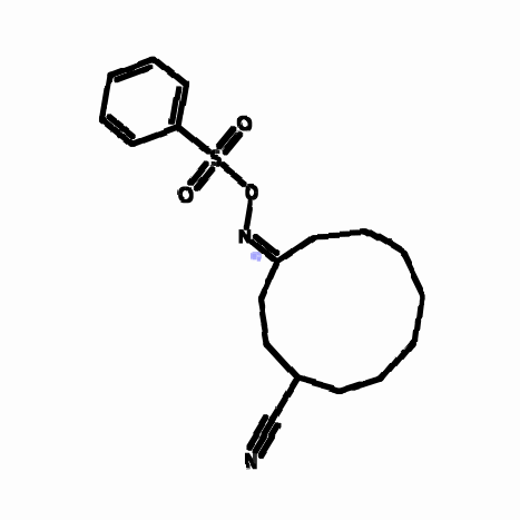 N#CC1CCCCCCC/C(=N\OS(=O)(=O)c2ccccc2)CC1